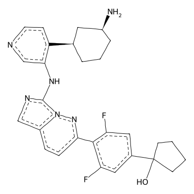 N[C@H]1CCC[C@@H](c2ccncc2Nc2ncc3ccc(-c4c(F)cc(C5(O)CCCC5)cc4F)nn23)C1